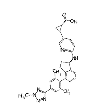 Cc1cc(-c2nnn(C)n2)cc(C)c1-c1cccc2c1CC[C@H]2Nc1ccc(C2C[C@H]2C(=O)O)cn1